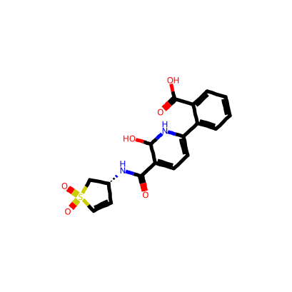 O=C(N[C@@H]1C=CS(=O)(=O)C1)C1=CC=C(c2ccccc2C(=O)O)NC1O